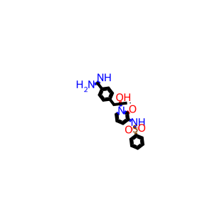 [CH2]C(O)(Cc1ccc(C(=N)N)cc1)n1cccc(NS(=O)(=O)c2ccccc2)c1=O